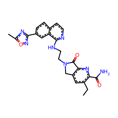 CCc1cc2c(nc1C(N)=O)C(=O)N(CCNc1nccc3ccc(-c4noc(C)n4)cc13)C2